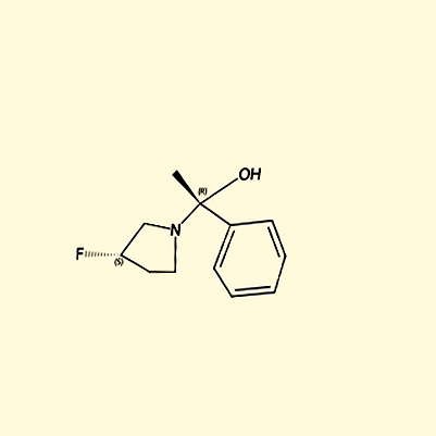 C[C@@](O)(c1ccccc1)N1CC[C@H](F)C1